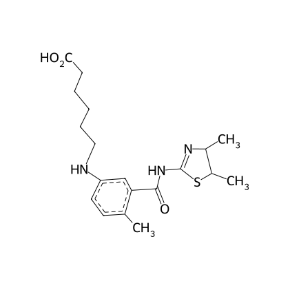 Cc1ccc(NCCCCCC(=O)O)cc1C(=O)NC1=NC(C)C(C)S1